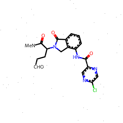 CNC(=O)C(CCC=O)N1Cc2c(NC(=O)c3cnc(Cl)cn3)cccc2C1=O